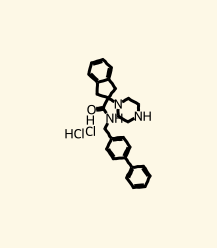 Cl.Cl.O=C(NCc1ccc(-c2ccccc2)cc1)C1(N2CCNCC2)Cc2ccccc2C1